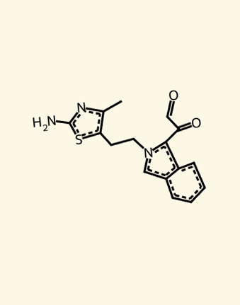 Cc1nc(N)sc1CCn1cc2ccccc2c1C(=O)C=O